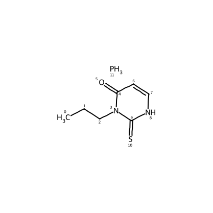 CCCn1c(=O)cc[nH]c1=S.P